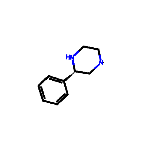 c1ccc([C@H]2C[N]CCN2)cc1